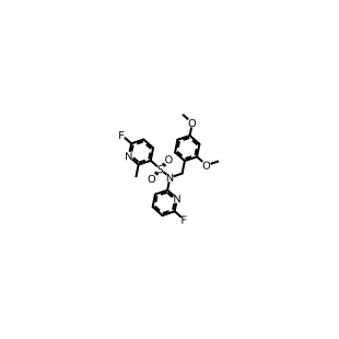 COc1ccc(CN(c2cccc(F)n2)S(=O)(=O)c2ccc(F)nc2C)c(OC)c1